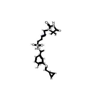 CC(NS(=O)(=O)CC/C=C/CN1C(=O)NC(=O)C1(C)C)c1ccc(F)c(OCC2CC2)c1